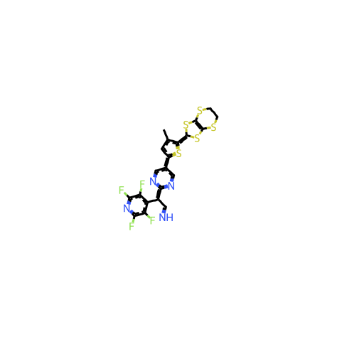 Cc1cc(=c2cnc(=C(C=N)c3c(F)c(F)nc(F)c3F)nc2)sc1=C1SC2=C(SCCS2)S1